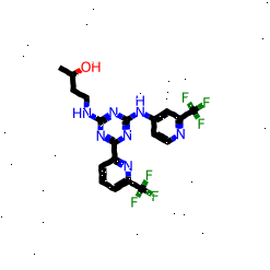 CC(O)CCNc1nc(Nc2ccnc(C(F)(F)F)c2)nc(-c2cccc(C(F)(F)F)n2)n1